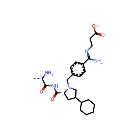 C[C@H](N)C(=O)NC(=O)[C@@H]1CC(C2CCCCC2)CN1Cc1ccc(C(N)=NCCC(=O)O)cc1